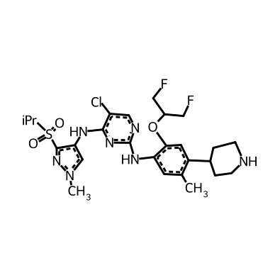 Cc1cc(Nc2ncc(Cl)c(Nc3cn(C)nc3S(=O)(=O)C(C)C)n2)c(OC(CF)CF)cc1C1CCNCC1